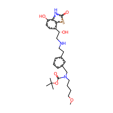 COCCCCN(Cc1cccc(CCNC[C@@H](O)c2ccc(O)c3[nH]c(=O)sc23)c1)C(=O)OC(C)(C)C